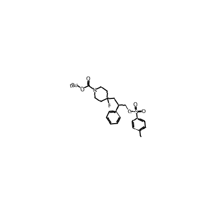 Cc1ccc(S(=O)(=O)OCC(CC2(F)CCN(C(=O)OC(C)(C)C)CC2)c2ccccc2)cc1